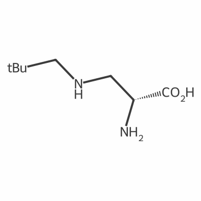 CC(C)(C)CNC[C@@H](N)C(=O)O